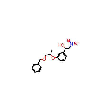 C[C@H](COCc1ccccc1)Oc1cccc([C@H](O)C[N+](=O)[O-])c1